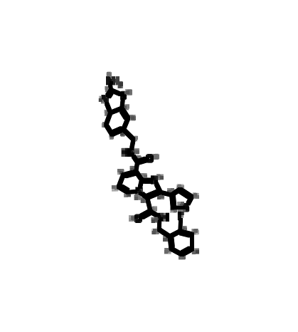 NC1=NC2CC=C(CNC(=O)c3cccn4c(C(=O)NCc5ccccc5F)c(-c5ccsc5)nc34)C=C2S1